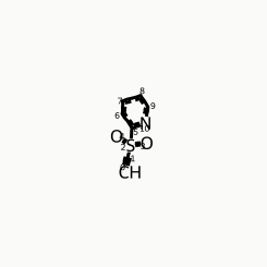 C#CS(=O)(=O)c1ccccn1